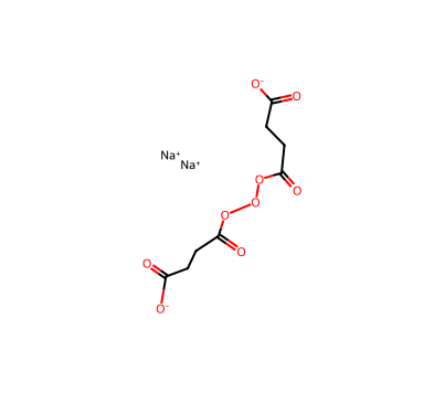 O=C([O-])CCC(=O)OOOC(=O)CCC(=O)[O-].[Na+].[Na+]